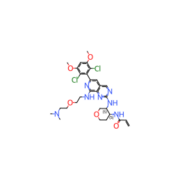 C=CC(=O)N[C@H]1CCOC[C@H]1Nc1ncc2cc(-c3c(Cl)c(OC)cc(OC)c3Cl)nc(NCCOCCN(C)C)c2n1